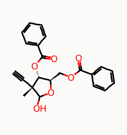 C#C[C@@]1(C)C(O)O[C@H](COC(=O)c2ccccc2)[C@H]1OC(=O)c1ccccc1